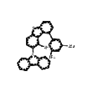 CC(C)(C)c1cc(-c2cccc3sc4ccc(-n5c6ccccc6c6ccccc65)c(N)c4c23)cc(C(C)(C)C)c1